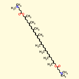 CC(/C=C/C=C(C)/C=C/C=C(\C)CC/C=C(\C)COC(=O)CCCN(C)C)=C\C=C\C=C(C)\C=C\C=C(C)\C=C\C=C(/C)CC/C=C(\C)COC(=O)CCCN(C)C